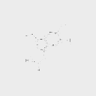 CCc1cn(CC(C)O)c2cc(Cl)c(F)cc12